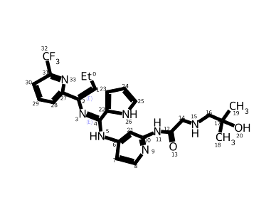 CC/C=C(/N=C(/Nc1ccnc(NC(=O)CNCC(C)(C)O)c1)c1ccc[nH]1)c1cccc(C(F)(F)F)n1